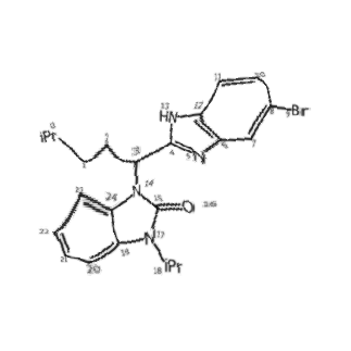 CC(C)CCC(c1nc2cc(Br)ccc2[nH]1)n1c(=O)n(C(C)C)c2ccccc21